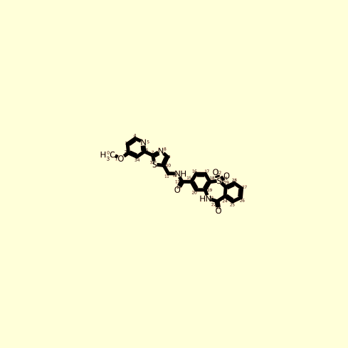 COc1ccnc(-c2ncc(CNC(=O)c3ccc4c(c3)NC(=O)c3ccccc3S4(=O)=O)s2)c1